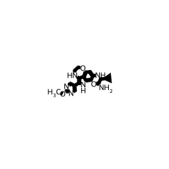 COc1ncc(-c2[nH]c3cc(N[C@H](C(N)=O)C4CC4)cc4c3c2NCCO4)cn1